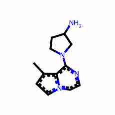 Cc1ccn2ccnc(N3CCC(N)C3)c12